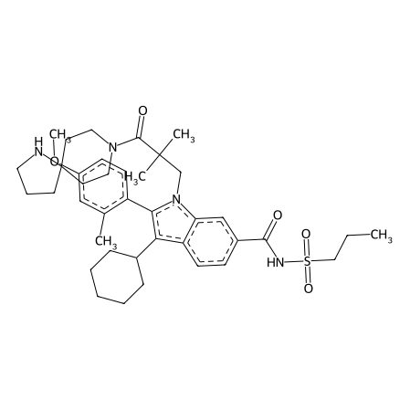 CCCS(=O)(=O)NC(=O)c1ccc2c(C3CCCCC3)c(-c3ccc(OC)cc3C)n(CC(C)(C)C(=O)N3CCC4(CCCN4)CC3)c2c1